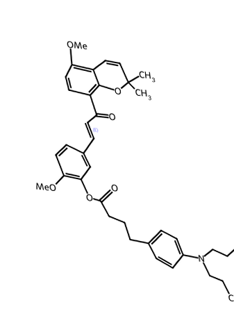 COc1ccc(/C=C/C(=O)c2ccc(OC)c3c2OC(C)(C)C=C3)cc1OC(=O)CCCc1ccc(N(CCCl)CCCl)cc1